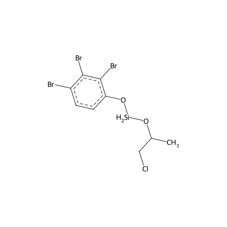 CC(CCl)O[SiH2]Oc1ccc(Br)c(Br)c1Br